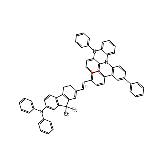 CCC1(CC)C2=C(CCC(/C=C/c3ccc(-c4cc(-c5ccccc5)ccc4N4c5ccccc5N(c5ccccc5)c5ccccc54)cc3)=C2)c2ccc(N(c3ccccc3)c3ccccc3)cc21